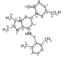 Cc1cccc(C)c1CNc1cc(-n2cc(C(=O)O)ccc2=O)cn2c(C)c(C)nc12